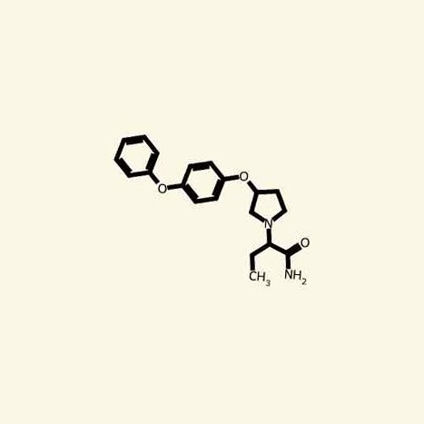 CCC(C(N)=O)N1CCC(Oc2ccc(Oc3ccccc3)cc2)C1